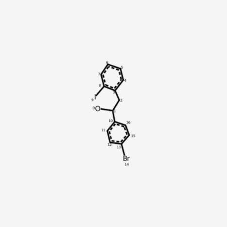 [O]C(Cc1ccccc1I)c1ccc(Br)cc1